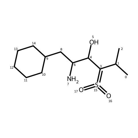 CC(C)C(C(O)C(N)CC1CCCCC1)=S(=O)=O